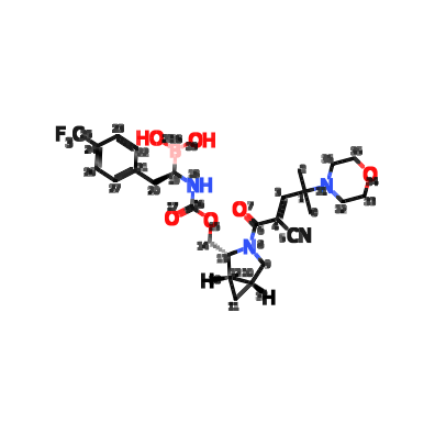 CC(C)(/C=C(\C#N)C(=O)N1C[C@@H]2C[C@@H]2[C@@H]1COC(=O)N[C@@H](Cc1ccc(C(F)(F)F)cc1)B(O)O)N1CCOCC1